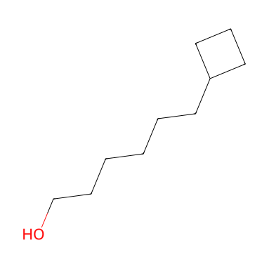 OCCCCCCC1CCC1